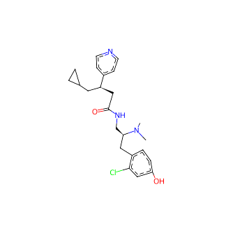 CN(C)[C@H](CNC(=O)C[C@@H](CC1CC1)c1ccncc1)Cc1ccc(O)cc1Cl